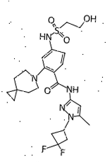 Cc1cc(NC(=O)c2ccc(NS(=O)(=O)CCO)cc2N2CCC3(CC2)CC3)nn1C1CC(F)(F)C1